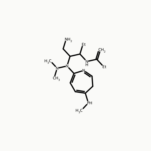 C=C(CC)NC(CC)C(CN)N(C1=CC=C(PC)CC=N1)N(C)C